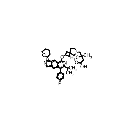 CC(C)c1nc(OC2CC3(CCN(CC(C)(C)CC(=O)O)C3)C2)c2cc3c(cnn3C3CCCCO3)cc2c1-c1ccc(F)cc1